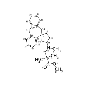 COC(=O)C(C)(C)CN(C)C1CCC2(Cc3ccccc3Cc3ccccc32)C1